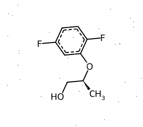 C[C@@H](CO)Oc1cc(F)ccc1F